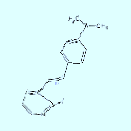 CN(C)c1ccc(/C=C/c2cccnc2I)cc1